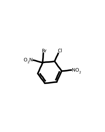 O=[N+]([O-])C1=CC=CC(Br)([N+](=O)[O-])C1Cl